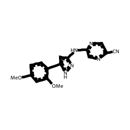 COc1ccc(-c2cc(Nc3cnc(C#N)cn3)n[nH]2)c(OC)c1